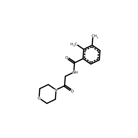 Cc1cccc(C(=O)NCC(=O)N2CCOCC2)c1C